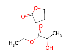 CCOC(=O)C(C)O.O=C1CCCO1